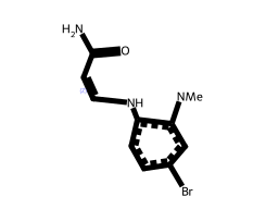 CNc1cc(Br)ccc1N/C=C\C(N)=O